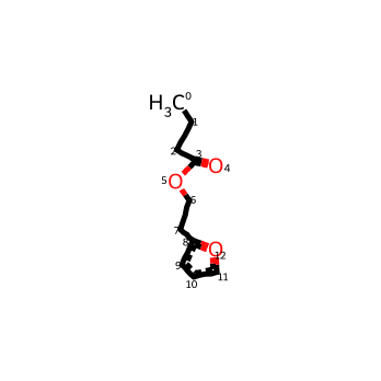 CCCC(=O)OCCc1ccco1